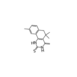 C=C1NC(=S)NC2=C1C(C)(C)Cc1ccc(C)cc12